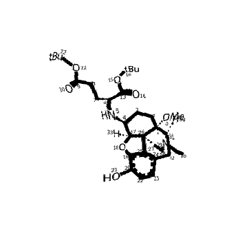 CO[C@@]12CC[C@H](N[C@@H](CCC(=O)OC(C)(C)C)C(=O)OC(C)(C)C)[C@@H]3Oc4c(O)ccc5c4[C@@]31CCN(C)[C@@H]2C5